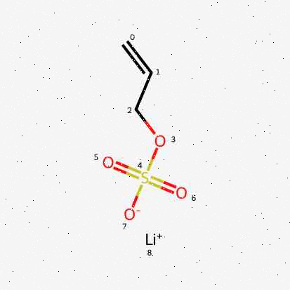 C=CCOS(=O)(=O)[O-].[Li+]